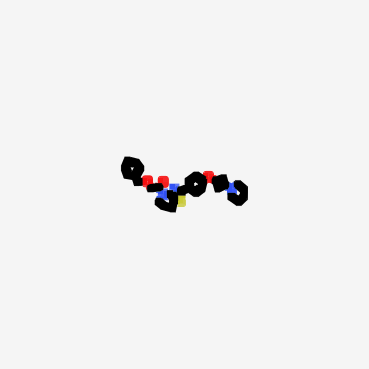 O=C(COCc1ccccc1)N1CCCc2sc(-c3ccc(OC4CC(N5CCCCC5)C4)cc3)nc21